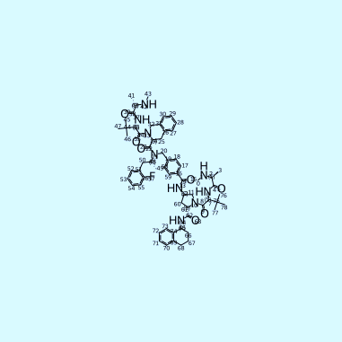 CN[C@@H](C)C(=O)N[C@H](C(=O)N1C[C@@H](NC(=O)c2ccc(CN(C(=O)[C@@H]3Cc4ccccc4CN3C(=O)[C@@H](NC(=O)[C@H](C)NC)C(C)(C)C)[C@H](C)Cc3ccccc3F)cc2)C[C@H]1C(=O)N[C@@H]1CCCc2ccccc21)C(C)(C)C